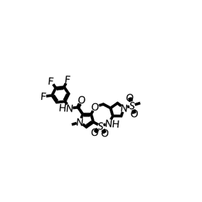 Cn1cc2c(c1C(=O)Nc1cc(F)c(F)c(F)c1)OCC1CN(S(C)(=O)=O)CC1NS2(=O)=O